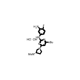 CCCCc1cc(N2CC[C@H](NC)C2)nc(Nc2ccc(F)c(N)c2)n1.Cl.Cl